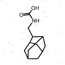 O=C(O)NCC1C2CC3CC(C2)CC1C3